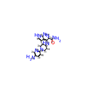 NC(=O)c1nnc2[nH]ccc2c1NC1CCN(c2ccc(N)cn2)CC1